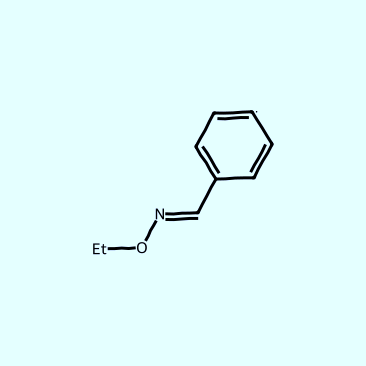 CCON=Cc1cc[c]cc1